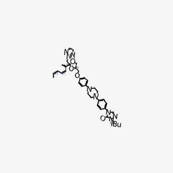 C=C(/C=C\C=C/C)[C@]1(Cn2nccn2)OC[C@@H](COc2ccc(N3CCN(c4ccc(-n5cnn([C@@H](C)CC)c5=O)cc4)CC3)cc2)O1